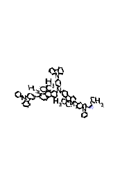 C=C/C=C\c1cc2cc(-c3ccc4c(c3)C(C)(C)c3cc(N(c5ccc(-n6c7ccccc7c7ccccc76)cc5)c5ccc6c(c5)C(C)(C)c5cc(-c7ccc8c(c7)c7ccccc7n8-c7ccccc7)ccc5-6)ccc3-4)ccc2n1-c1ccccc1